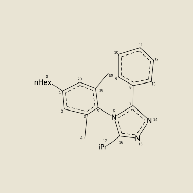 CCCCCCc1cc(C)c(-n2c(-c3ccccc3)nnc2C(C)C)c(C)c1